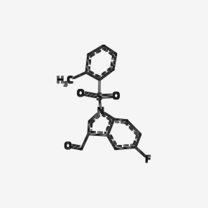 Cc1ccccc1S(=O)(=O)n1cc(C=O)c2cc(F)ccc21